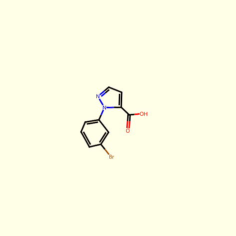 O=C(O)c1ccnn1-c1cccc(Br)c1